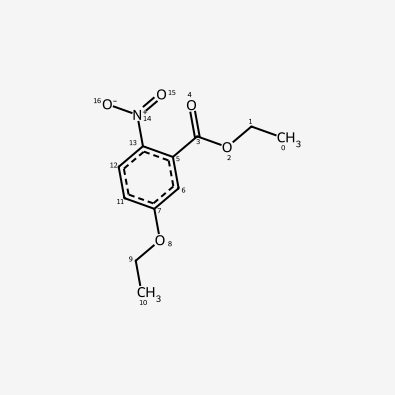 CCOC(=O)c1cc(OCC)ccc1[N+](=O)[O-]